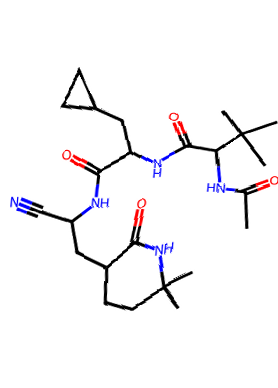 CC(=O)NC(C(=O)NC(CC1CC1)C(=O)NC(C#N)CC1CCC(C)(C)NC1=O)C(C)(C)C